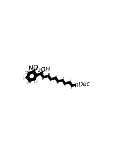 CCCCCCCCCCCCCCCCCCCC(O)c1ccccc1[N+](=O)[O-]